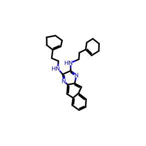 C1=C(CCNc2nc3cc4ccccc4cc3nc2NCCC2=CCCCC2)CCCC1